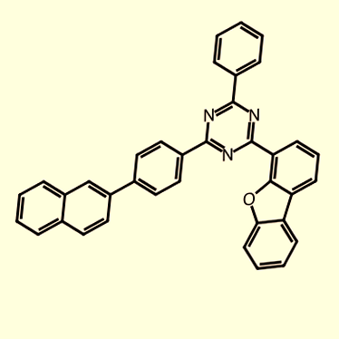 c1ccc(-c2nc(-c3ccc(-c4ccc5ccccc5c4)cc3)nc(-c3cccc4c3oc3ccccc34)n2)cc1